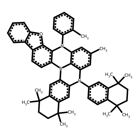 Cc1cc2c3c(c1)N(c1ccccc1C)c1c(ccc4c1oc1ccccc14)B3c1cc3c(cc1N2c1ccc2c(c1)C(C)(C)CCC2(C)C)C(C)(C)CCC3(C)C